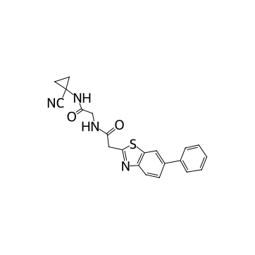 N#CC1(NC(=O)CNC(=O)Cc2nc3ccc(-c4ccccc4)cc3s2)CC1